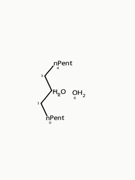 CCCCCCCCCCCCC.O.O